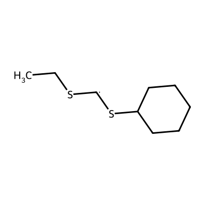 CCS[CH]SC1CCCCC1